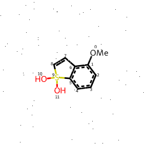 COc1cccc2c1C=CS2(O)O